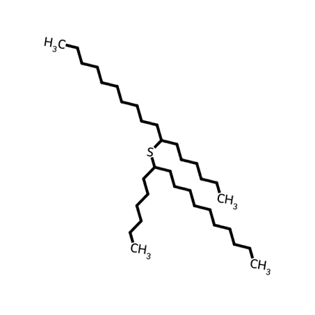 CCCCCCCCCCC(CCCCCC)SC(CCCCCC)CCCCCCCCCC